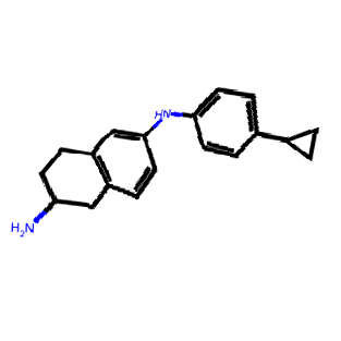 NC1CCc2cc(Nc3ccc(C4CC4)cc3)ccc2C1